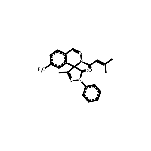 CC(C)=CC(=O)N1N=Cc2ccc(C(F)(F)F)cc2C12C(=O)N(c1ccccc1)N=C2C